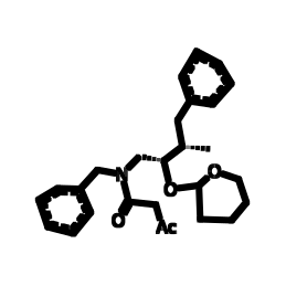 CC(=O)CC(=O)N(Cc1ccccc1)C[C@@H](OC1CCCCO1)[C@@H](C)Cc1ccccc1